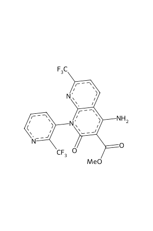 COC(=O)c1c(N)c2ccc(C(F)(F)F)nc2n(-c2cccnc2C(F)(F)F)c1=O